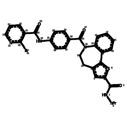 CCCNC(=O)c1cc2c(s1)-c1ccccc1N(C(=O)c1ccc(NC(=O)c3cccnc3Br)cc1)CC2